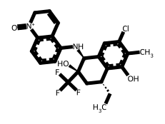 CC[C@@H]1C[C@](O)(C(F)(F)F)[C@@H](Nc2cccc3c2C=CC[N+]3=O)c2cc(Cl)c(C)c(O)c21